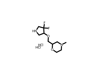 CN1CCOC(COC2CNCC2(F)F)C1.Cl.Cl